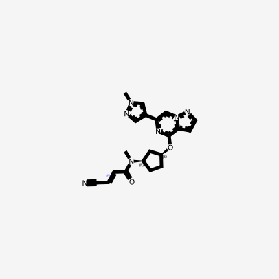 CN(C(=O)/C=C/C#N)[C@@H]1CC[C@H](Oc2nc(-c3cnn(C)c3)cn3nccc23)C1